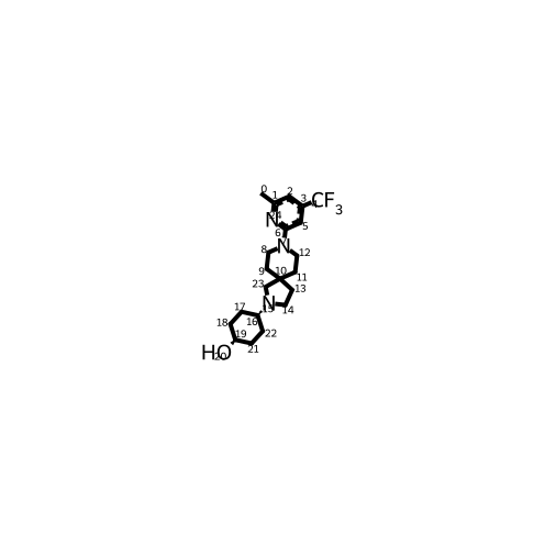 Cc1cc(C(F)(F)F)cc(N2CCC3(CC2)CCN([C@H]2CC[C@H](O)CC2)C3)n1